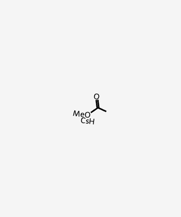 COC(C)=O.[CsH]